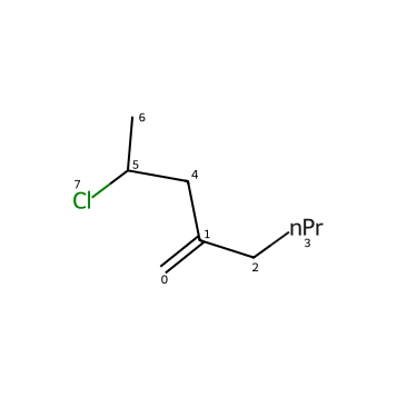 C=C(CCCC)CC(C)Cl